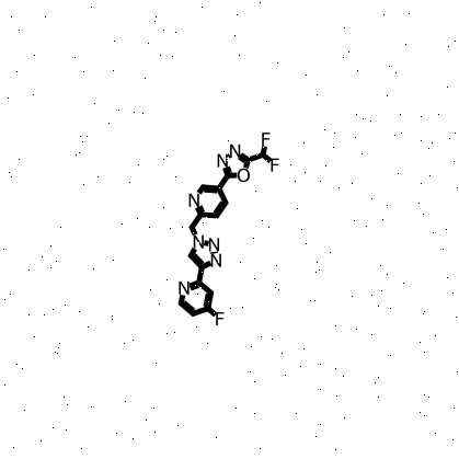 Fc1ccnc(-c2cn(Cc3ccc(-c4nnc(C(F)F)o4)cn3)nn2)c1